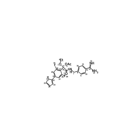 CCO[C@@](OC(C)=O)(C(=O)NCc1ccc(C(=N)N)cc1)c1c(F)cc(-c2ccco2)cc1F